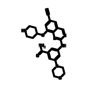 C#Cc1cc(OC2CCNCC2)c2nc(Nc3cc(C(N)=O)cc(N4CCOCC4)c3)ncc2c1